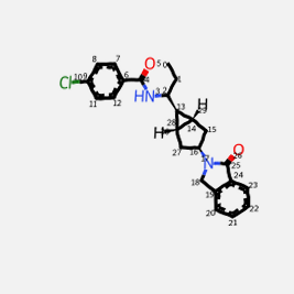 CCC(NC(=O)c1ccc(Cl)cc1)[C@H]1[C@@H]2C[C@@H](N3Cc4ccccc4C3=O)C[C@@H]21